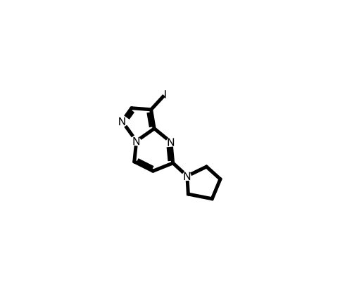 Ic1cnn2ccc(N3CCCC3)nc12